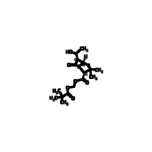 CC(O)[C@@H]1C(=O)N2[C@@H]1SC(C)(C)[C@@H]2C(=O)OCOC(=O)C(C)(C)C